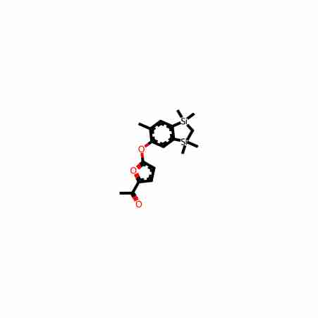 CC(=O)c1ccc(Oc2cc3c(cc2C)[Si](C)(C)C[Si]3(C)C)o1